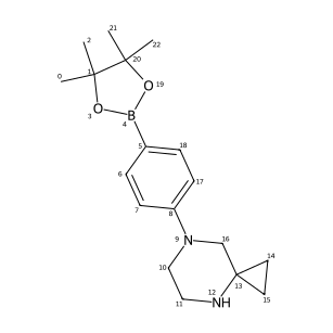 CC1(C)OB(c2ccc(N3CCNC4(CC4)C3)cc2)OC1(C)C